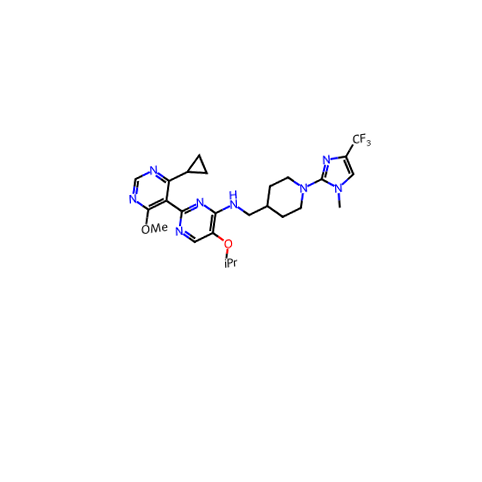 COc1ncnc(C2CC2)c1-c1ncc(OC(C)C)c(NCC2CCN(c3nc(C(F)(F)F)cn3C)CC2)n1